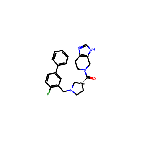 O=C([C@@H]1CCN(Cc2cc(-c3ccccc3)ccc2F)C1)N1CCc2nc[nH]c2C1